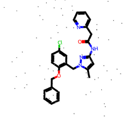 Cc1cc(NC(=O)Cc2ccccn2)nn1Cc1cc(Cl)ccc1OCc1ccccc1